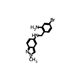 Cn1cc2cc(NCc3ccc(Br)cc3N)ccc2n1